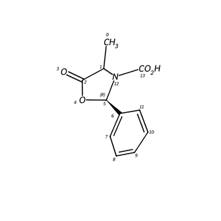 CC1C(=O)O[C@H](c2ccccc2)N1C(=O)O